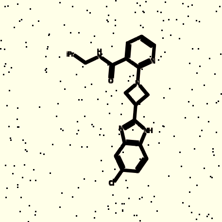 CC(C)CNC(=O)c1cccnc1N1CC(c2nc3cc(Cl)ccc3[nH]2)C1